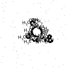 CC[C@H]1OC(=O)[C@H](C)[C@@H](O[C@H]2C[C@@](C)(OC)[C@@H](O)[C@H](C)O2)[C@H](C)[C@@H](O[C@@H]2O[C@H](C)C[C@H](N(C)CCc3cn(C[C@H]4CN(c5cccc6ncccc56)C(=O)O4)nn3)[C@H]2O)[C@](C)(O)C[C@@H](C)CN(C)[C@H](C)[C@@H](O)[C@]1(C)O